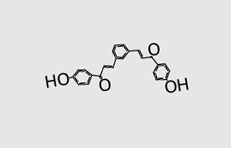 O=C(C=Cc1cccc(C=CC(=O)c2ccc(O)cc2)c1)c1ccc(O)cc1